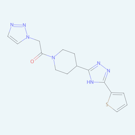 O=C(Cn1ccnn1)N1CCC(c2nnc(-c3cccs3)[nH]2)CC1